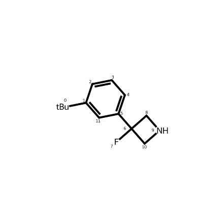 CC(C)(C)c1cccc(C2(F)CNC2)c1